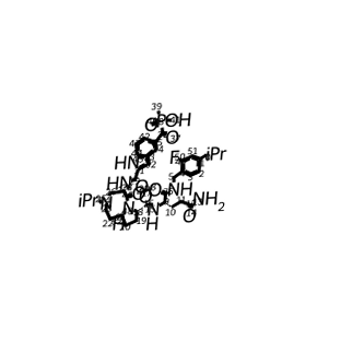 CC(C)c1ccc(CNC(=O)[C@H](CCC(N)=O)NC(=O)[C@@H]2CC[C@@H]3CCN(C(C)C)C[C@H](NC(=O)c4cc5cc(C(=O)P(C)(=O)O)ccc5[nH]4)C(=O)N32)c(F)c1